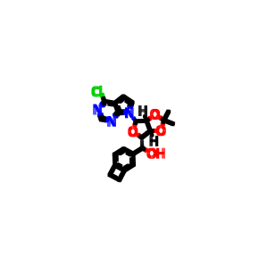 CC1(C)O[C@@H]2[C@H](O1)[C@@H](C(O)c1ccc3c(c1)CC3)O[C@H]2n1ccc2c(Cl)ncnc21